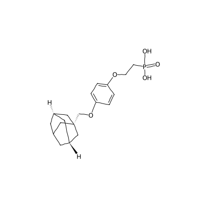 O=P(O)(O)CCOc1ccc(OC[C@]23CC4C[C@H](C[C@@H](C4)C2)C3)cc1